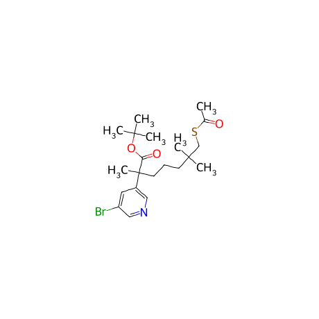 CC(=O)SCC(C)(C)CCCC(C)(C(=O)OC(C)(C)C)c1cncc(Br)c1